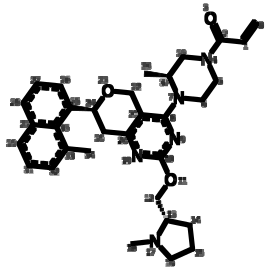 C=CC(=O)N1CCN(c2nc(OC[C@@H]3CCCN3C)nc3c2CO[C@H](c2cccc4cccc(C)c24)C3)[C@@H](C)C1